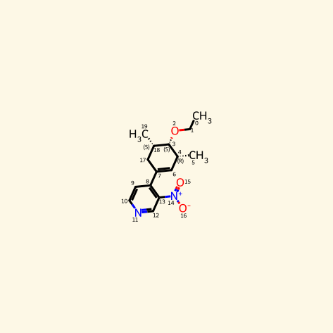 CCO[C@@H]1[C@H](C)C=C(c2ccncc2[N+](=O)[O-])C[C@@H]1C